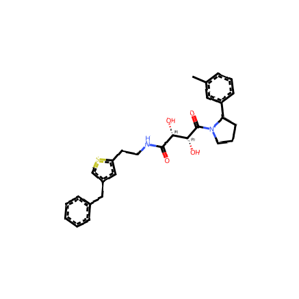 Cc1cccc(C2CCCN2C(=O)[C@H](O)[C@@H](O)C(=O)NCCc2cc(Cc3ccccc3)cs2)c1